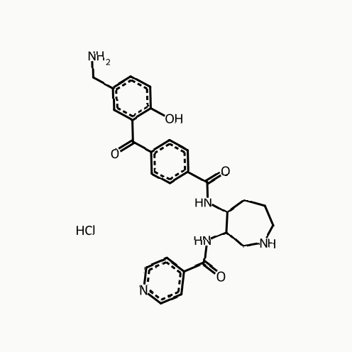 Cl.NCc1ccc(O)c(C(=O)c2ccc(C(=O)NC3CCCNCC3NC(=O)c3ccncc3)cc2)c1